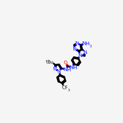 CC(C)(C)c1cc(NC(=O)Nc2ccc(-n3cnc4c(N)ncnc43)cc2)n(-c2ccc(C(F)(F)F)cc2)n1